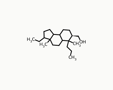 CCCC1(C)C2CCC3(C)C(CC)CCC3C2CC[C@H]1CO